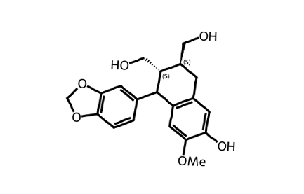 COc1cc2c(cc1O)C[C@H](CO)[C@@H](CO)C2c1ccc2c(c1)OCO2